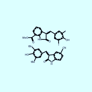 CC(C)(C)c1cc(/C=C2\C(=O)Nc3ccc(C#N)cc32)cc(C(C)(C)C)c1O.COC(=O)c1cccc2c1NC(=O)/C2=C\c1cc(I)c(O)c(I)c1